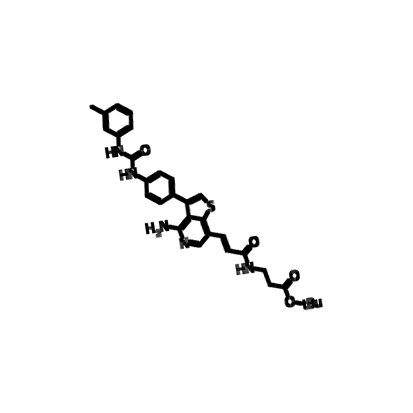 Cc1cccc(NC(=O)Nc2ccc(-c3csc4c(/C=C/C(=O)NCCC(=O)OC(C)(C)C)cnc(N)c34)cc2)c1